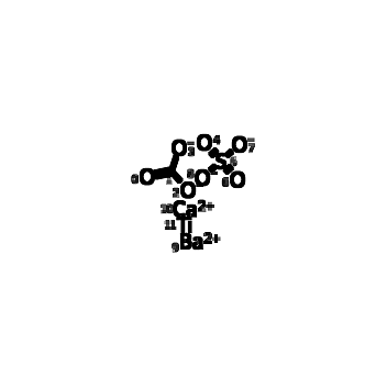 O=C([O-])[O-].O=S(=O)([O-])[O-].[Ba+2].[Ca+2].[Ti]